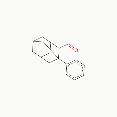 O=CC1C2CC3CC(C2)CC1(c1ccccc1)C3